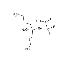 CCCCC(C)(CCCN)CCCO.O=C(O)C(F)(F)F